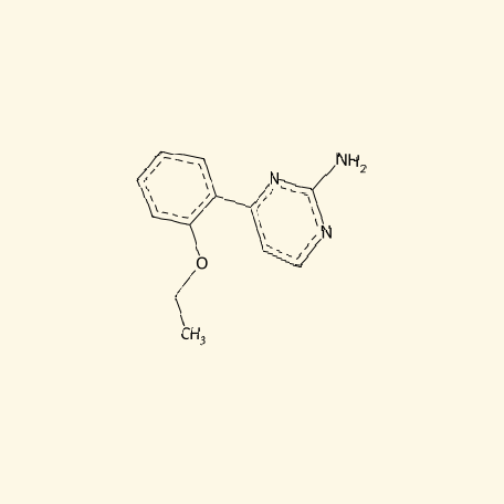 CCOc1ccccc1-c1ccnc(N)n1